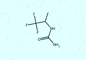 CC(NC(N)=O)C(F)(F)F